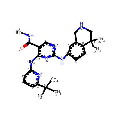 CC(C)NC(=O)c1cnc(Nc2ccc3c(c2)CNCC3(C)C)nc1Nc1cccc(C(C)(C)C#N)n1